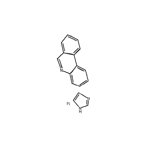 [Pt].c1c[nH]cn1.c1ccc2c(c1)cnc1ccccc12